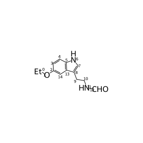 CCOc1ccc2[nH]cc(CCNC=O)c2c1